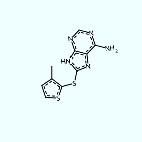 Cc1ccsc1Sc1nc2c(N)ncnc2[nH]1